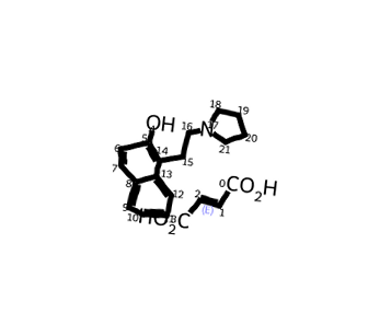 O=C(O)/C=C/C(=O)O.Oc1ccc2ccccc2c1CCN1CCCC1